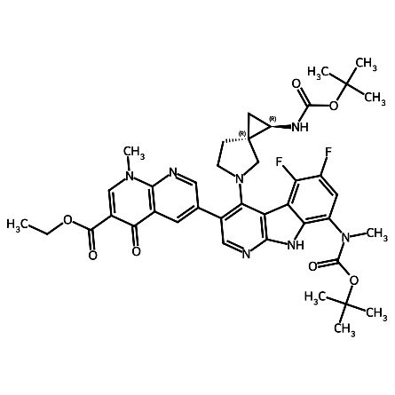 CCOC(=O)c1cn(C)c2ncc(-c3cnc4[nH]c5c(N(C)C(=O)OC(C)(C)C)cc(F)c(F)c5c4c3N3CC[C@@]4(C[C@H]4NC(=O)OC(C)(C)C)C3)cc2c1=O